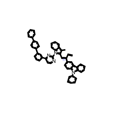 C=C/C(=C\c1c(C)c2ccccc2n1-c1nccc(-c2cccc(-c3ccc(-c4ccccc4)cc3)c2)n1)c1ccc2c(c1)c1ccccc1n2-c1ccccc1